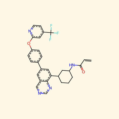 C=CC(=O)NC1CCCC(c2cc(-c3ccc(Oc4cc(C(F)(F)F)ccn4)cc3)cc3cncnc23)C1